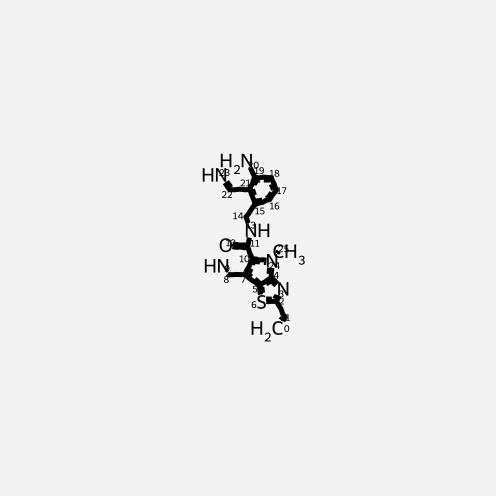 C=Cc1nc2c(s1)c(C=N)c(C(=O)NCc1cccc(N)c1C=N)n2C